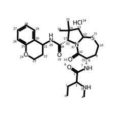 CCC(NC)C(=O)N[C@H]1CCSC2CC(C)(C)[C@@H](C(=O)NC3CCOc4ccccc43)N2C1=O.Cl